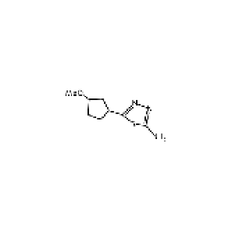 COC1CCC(c2nnc(N)s2)C1